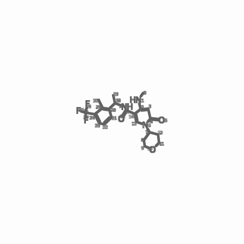 CNc1cc(=O)n(C2CCOCC2)cc1C(=O)NC(C)c1cccc(C(F)(F)F)c1C